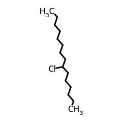 CCCCCCCC[C](Cl)CCCCCC